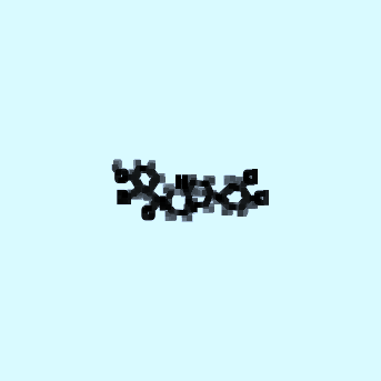 COc1cccc(C(=O)N2CCN3C[C@H](c4ccc(Cl)c(Cl)c4)CC[C@H]3C2)c1Br